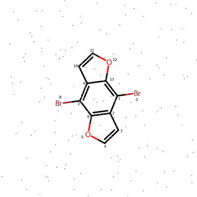 Brc1c2ccoc2c(Br)c2ccoc12